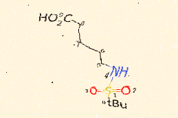 CC(C)(C)S(=O)(=O)NCCCCC(=O)O